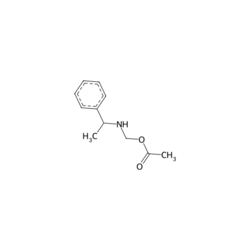 CC(=O)OCNC(C)c1ccccc1